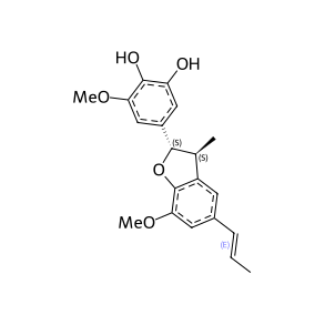 C/C=C/c1cc(OC)c2c(c1)[C@H](C)[C@@H](c1cc(O)c(O)c(OC)c1)O2